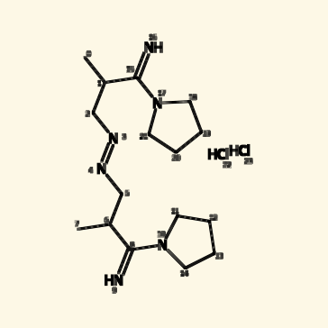 CC(CN=NCC(C)C(=N)N1CCCC1)C(=N)N1CCCC1.Cl.Cl